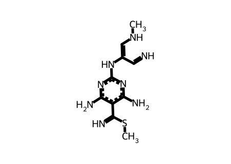 CN/C=C(\C=N)Nc1nc(N)c(C(=N)SC)c(N)n1